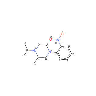 CC(C)N1CCN(c2ccccc2[N+](=O)[O-])CC1C